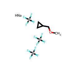 COCC1CC1.F[B-](F)(F)F.F[B-](F)(F)F.F[B-](F)(F)F.[NaH]